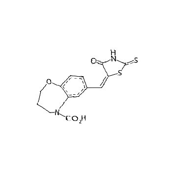 O=C1NC(=S)S/C1=C/c1ccc2c(c1)N(C(=O)O)CCCO2